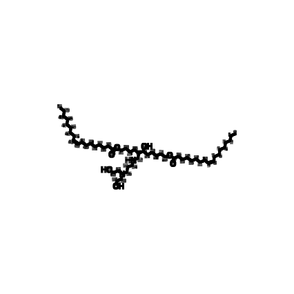 CCCCCCCC/C=C\CCCCCCCC(=O)OCCCCCC(O)C(CCCCOC(=O)CCCCCCC/C=C\CCCCCCCC)CNCCCN(CCO)CCO